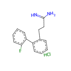 Cl.N=C(N)CCc1ccccc1-c1ccccc1F